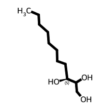 CCCCCCCC[C@H](O)C(O)CO